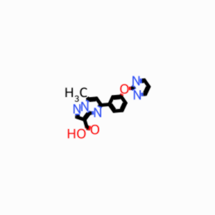 Cc1cc(-c2cccc(Oc3ncccn3)c2)nc2c(C(=O)O)cnn12